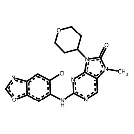 Cn1c(=O)n(C2CCOCC2)c2nc(Nc3cc4ocnc4cc3Cl)ncc21